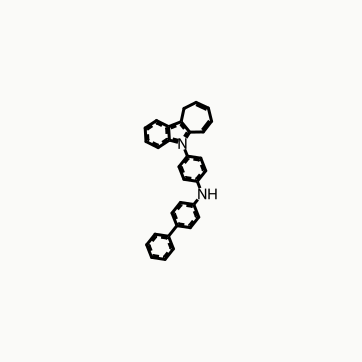 C1=CCc2c(n(-c3ccc(Nc4ccc(-c5ccccc5)cc4)cc3)c3ccccc23)C=C1